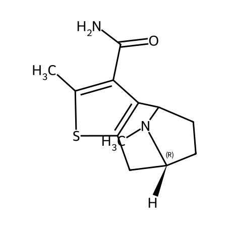 Cc1sc2c(c1C(N)=O)C1CC[C@H](C2)N1C